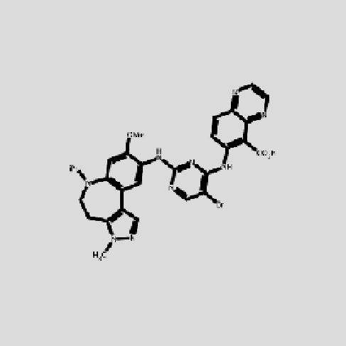 COc1cc2c(cc1Nc1ncc(Br)c(Nc3ccc4nccnc4c3C(=O)O)n1)-c1cnn(C)c1CCN2C(C)C